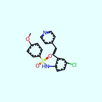 COc1ccc(S(=O)(=O)Nc2ccc(Cl)cc2C=Cc2ccncc2)cc1